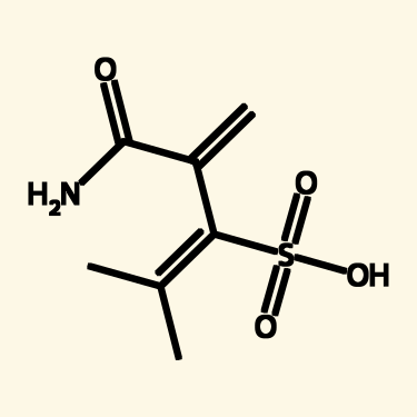 C=C(C(N)=O)C(=C(C)C)S(=O)(=O)O